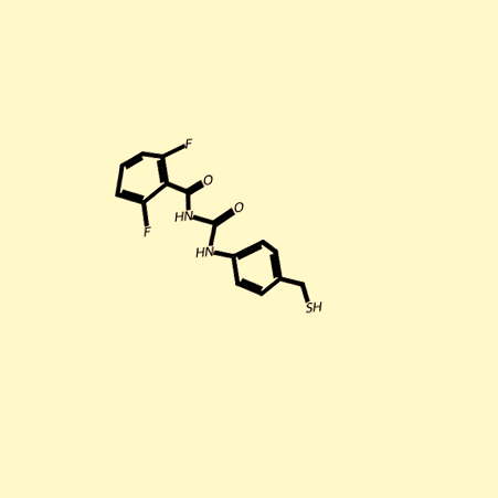 O=C(NC(=O)c1c(F)cccc1F)Nc1ccc(CS)cc1